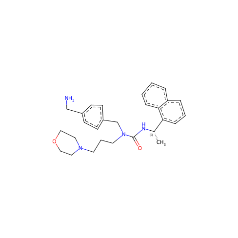 C[C@H](NC(=O)N(CCCN1CCOCC1)Cc1ccc(CN)cc1)c1cccc2ccccc12